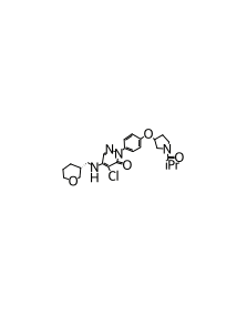 CC(C)C(=O)N1CC[C@H](Oc2ccc(-n3ncc(NC[C@H]4CCCOC4)c(Cl)c3=O)cc2)C1